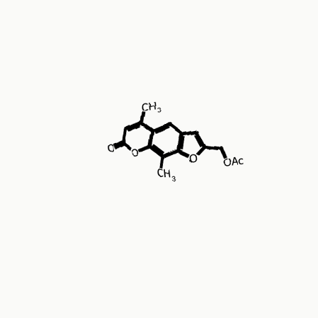 CC(=O)OCc1cc2cc3c(C)cc(=O)oc3c(C)c2o1